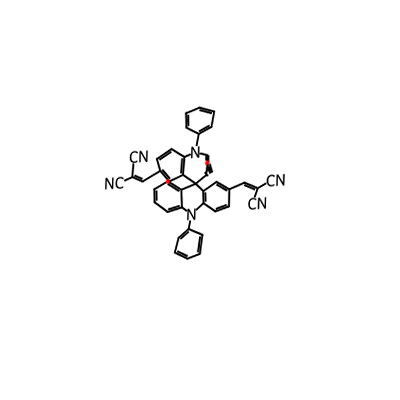 N#CC(C#N)=Cc1ccc2c(c1)C1(c3ccccc3N2c2ccccc2)c2ccccc2N(c2ccccc2)c2ccc(C=C(C#N)C#N)cc21